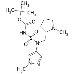 CN1CCC[C@H]1CN(c1cnn(C)c1)S(=O)(=O)NC(=O)OC(C)(C)C